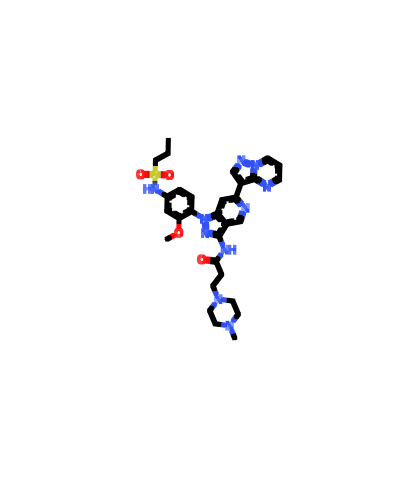 CCCS(=O)(=O)Nc1ccc(-n2nc(NC(=O)CCN3CCN(C)CC3)c3cnc(-c4cnn5cccnc45)cc32)c(OC)c1